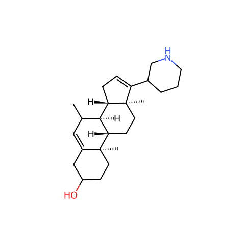 CC1C=C2CC(O)CC[C@]2(C)[C@H]2CC[C@]3(C)C(C4CCCNC4)=CC[C@H]3[C@H]12